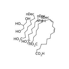 CCCCC/C=C\C/C=C\CCCCCCCC(=O)O.CCCCCCCCCCCCCCCCCC(=O)O.CCCCCCCCCCCCCCCCCC(=O)O.CCCCCCCCCCCCCCCCCC(=O)O.OCC(O)CO